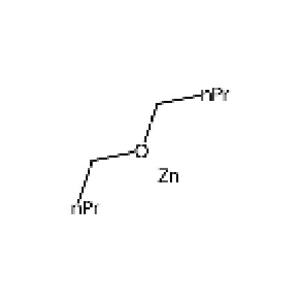 CCCCOCCCC.[Zn]